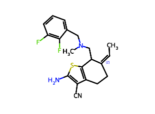 C/C=C1/CCc2c(sc(N)c2C#N)C1CN(C)Cc1cccc(F)c1F